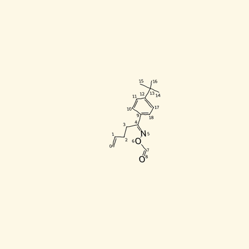 C=CCCC(=NOC=O)c1ccc(C(C)(C)C)cc1